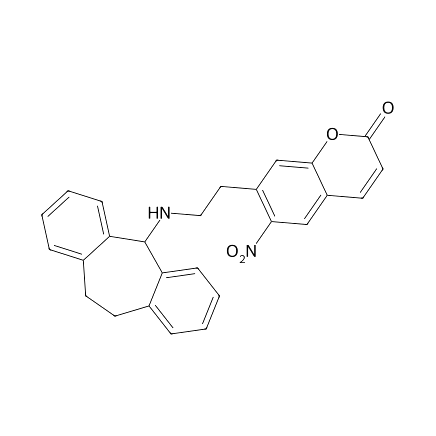 O=c1ccc2cc([N+](=O)[O-])c(CCNC3c4ccccc4CCc4ccccc43)cc2o1